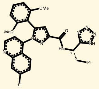 COc1cccc(OC)c1-c1cc(C(=O)N[C@@H](CC(C)C)c2nnn[nH]2)nn1-c1ccnc2cc(Cl)ccc12